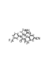 CN1C(=O)N(c2cccc(C(F)(F)F)c2)C2=C(C(=O)NCC2)C1c1ccc(C#N)cc1C(F)(F)F